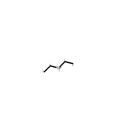 CC[Te+]CC